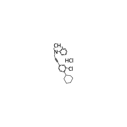 CCN(CC#Cc1ccc(C2CCCCC2)c(Cl)c1)c1ccccc1.Cl